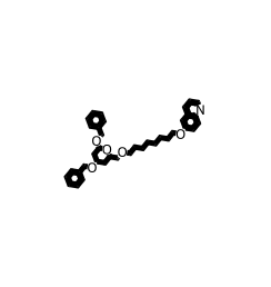 c1ccc(COC2CC(COCCCCCCCCOc3ccc4ncccc4c3)OC(OCc3ccccc3)C2)cc1